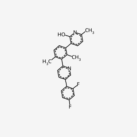 Cc1ccc(-c2ccc(C)c(-c3ccc(-c4ccc(F)cc4F)cn3)c2C)c(O)n1